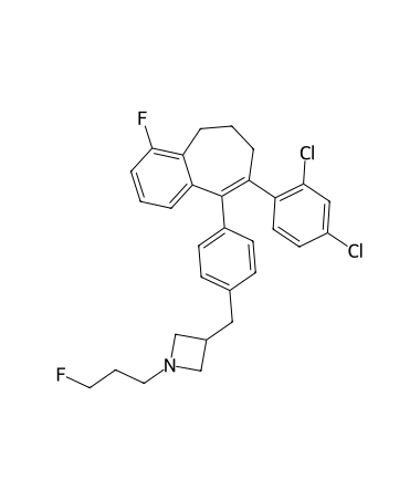 FCCCN1CC(Cc2ccc(C3=C(c4ccc(Cl)cc4Cl)CCCc4c(F)cccc43)cc2)C1